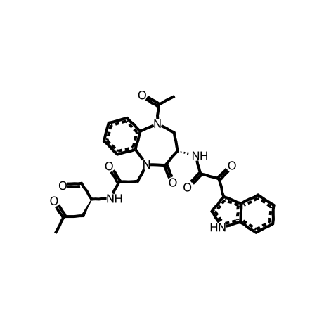 CC(=O)C[C@@H](C=O)NC(=O)CN1C(=O)[C@@H](NC(=O)C(=O)c2c[nH]c3ccccc23)CN(C(C)=O)c2ccccc21